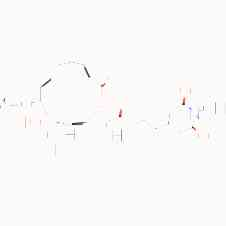 CO[C@H]1/C=C/CC/C=C/C(=O)O[C@H](C(C)C(=O)CCCC2CC(=O)N(C)C(=O)C2)/C(C)=C\C(C)[C@@H]1O